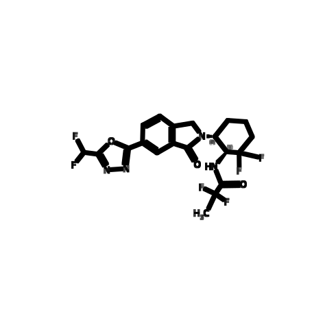 CC(F)(F)C(=O)N[C@H]1[C@H](N2Cc3ccc(-c4nnc(C(F)F)o4)cc3C2=O)CCCC1(F)F